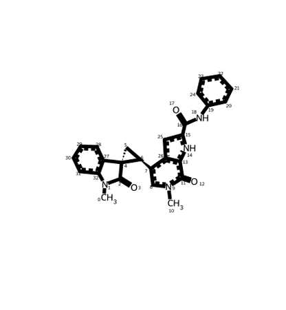 CN1C(=O)[C@@]2(C[C@H]2c2cn(C)c(=O)c3[nH]c(C(=O)Nc4ccccc4)cc23)c2ccccc21